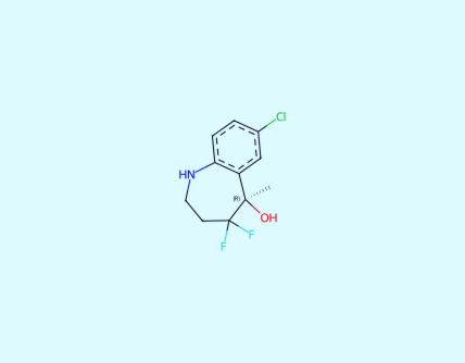 C[C@@]1(O)c2cc(Cl)ccc2NCCC1(F)F